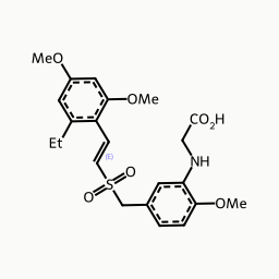 CCc1cc(OC)cc(OC)c1/C=C/S(=O)(=O)Cc1ccc(OC)c(NCC(=O)O)c1